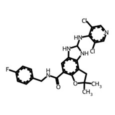 CC1(C)Cc2c3c(cc(C(=O)NCc4ccc(F)cc4)c2O1)NC(Nc1c(Cl)cncc1Cl)N3